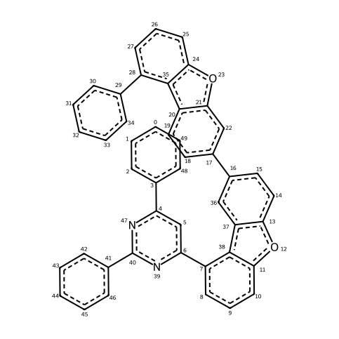 c1ccc(-c2cc(-c3cccc4oc5ccc(-c6ccc7c(c6)oc6cccc(-c8ccccc8)c67)cc5c34)nc(-c3ccccc3)n2)cc1